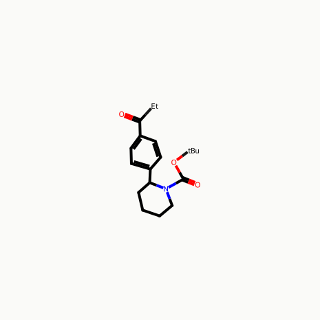 CCC(=O)c1ccc(C2CCCCN2C(=O)OC(C)(C)C)cc1